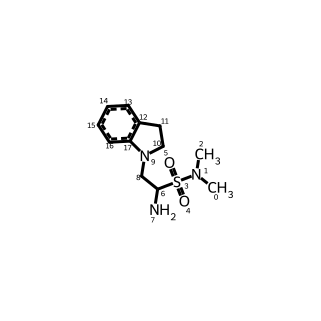 CN(C)S(=O)(=O)C(N)CN1CCc2ccccc21